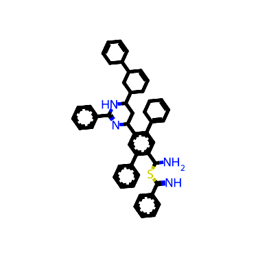 N=C(SC(N)c1cc(C2=CC=CCC2)c(C2CC(C3CC=CC(C4C=CC=CC4)C3)NC(c3ccccc3)=N2)cc1-c1ccccc1)c1ccccc1